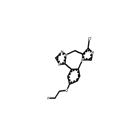 FCCOc1ccc2c(c1)-c1ncnn1Cc1c(Cl)ncn1-2